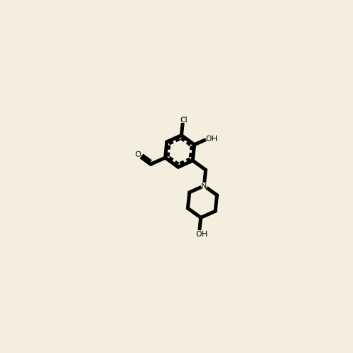 O=Cc1cc(Cl)c(O)c(CN2CCC(O)CC2)c1